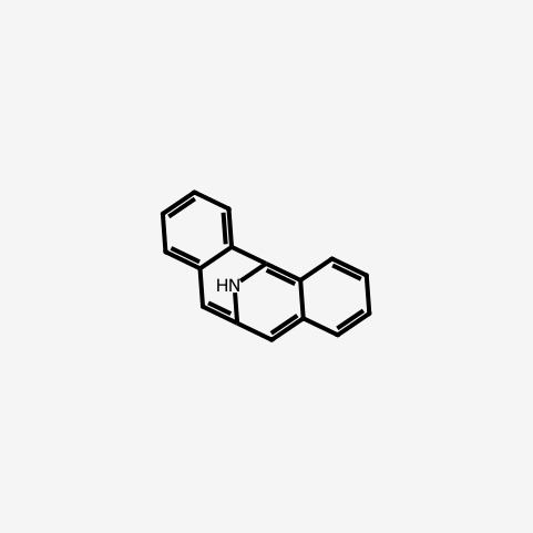 C1=C2C=c3ccccc3=C(N2)c2ccccc21